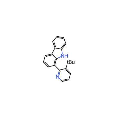 CC(C)(C)c1cccnc1-c1cccc2c1[nH]c1ccccc12